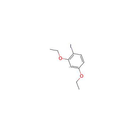 CCOc1[c]c(OCC)c(I)cc1